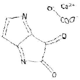 O=C([O-])[O-].O=c1nc2ccnc-2c1=O.[Ca+2]